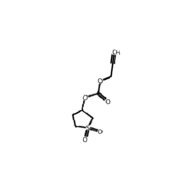 C#CCOC(=O)OC1CCS(=O)(=O)C1